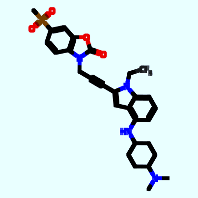 CN(C)C1CCC(Nc2cccc3c2cc(C#CCn2c(=O)oc4cc(S(C)(=O)=O)ccc42)n3CC(F)(F)F)CC1